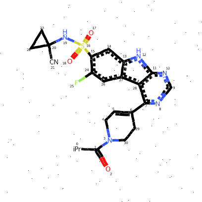 CC(C)C(=O)N1CC=C(c2ncnc3[nH]c4cc(S(=O)(=O)NC5(C#N)CC5)c(F)cc4c23)CC1